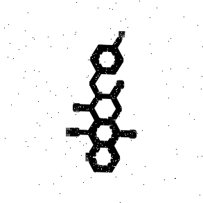 O=C1Cn2c(c(O)c3ncccc3c2=O)C(=O)N1Cc1ccc(F)cc1